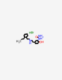 Br.CCCc1ccccc1CCNCCc1ccc(O)c(NC(N)=O)c1